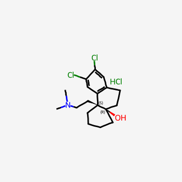 CN(C)CC[C@]12CCCC[C@@]1(O)CCc1cc(Cl)c(Cl)cc12.Cl